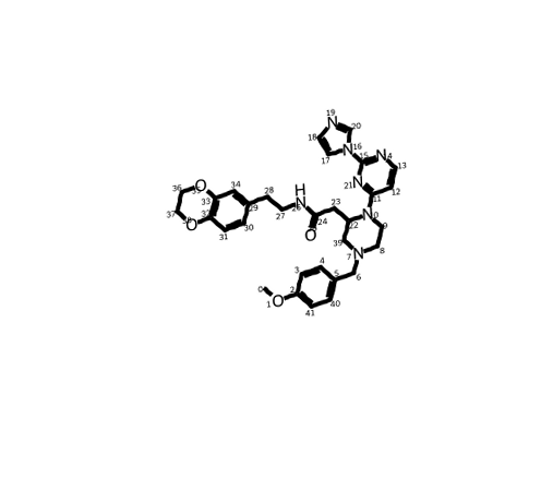 COc1ccc(CN2CCN(c3ccnc(-n4ccnc4)n3)C(CC(=O)NCCc3ccc4c(c3)OCCO4)C2)cc1